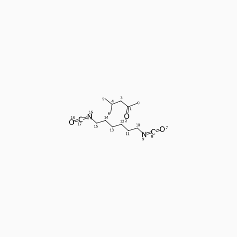 CC(=O)CC(C)C.O=C=NCCCCCCN=C=O